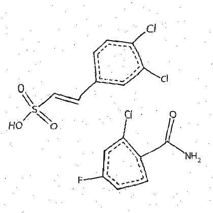 NC(=O)c1ccc(F)cc1Cl.O=S(=O)(O)/C=C/c1ccc(Cl)c(Cl)c1